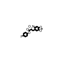 O=C(CCc1cc2c(cc1[N+](=O)[O-])OCO2)Oc1ccc(F)cc1